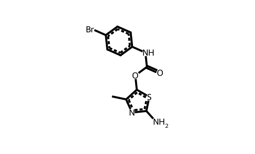 Cc1nc(N)sc1OC(=O)Nc1ccc(Br)cc1